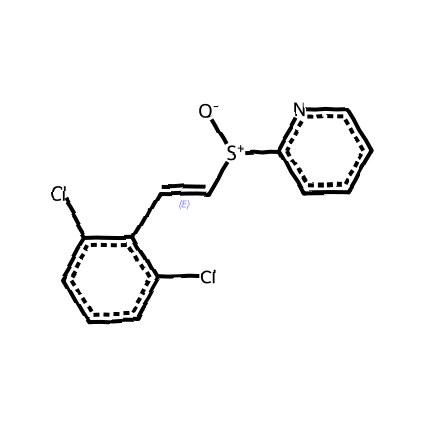 [O-][S+](/C=C/c1c(Cl)cccc1Cl)c1ccccn1